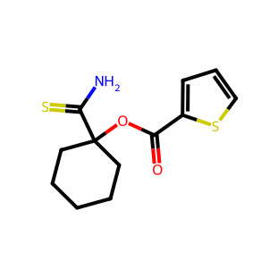 NC(=S)C1(OC(=O)c2cccs2)CCCCC1